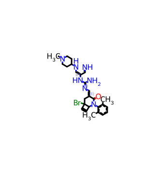 Cc1cccc(C)c1N1C(=O)/C(=C/N=C(\N)N/C(C=N)=C/NC2CCN(C)CC2)CC2(Br)C#CC12